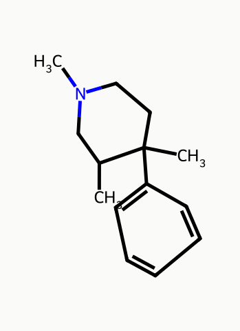 CC1CN(C)CCC1(C)c1ccccc1